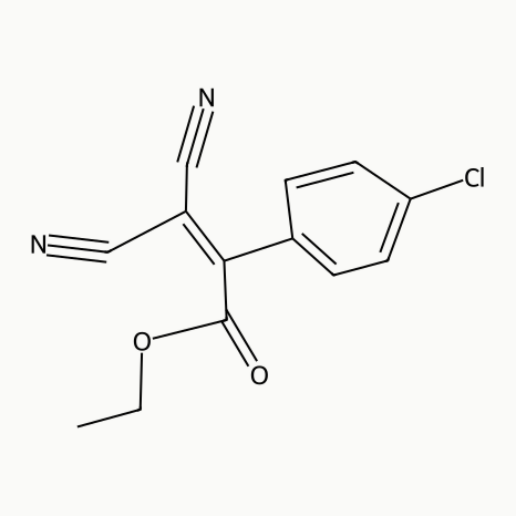 CCOC(=O)C(=C(C#N)C#N)c1ccc(Cl)cc1